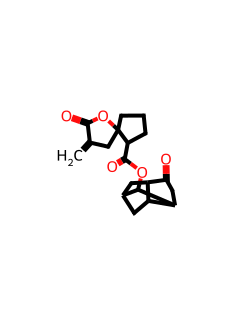 C=C1CC2(CCCC2C(=O)OC2C3CC4C(=O)CC2C4C3)OC1=O